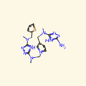 CN(Cc1ccn(CN(C)c2nnc(N(C)Cc3cccs3)[nH]2)c1)c1nnc(N)[nH]1